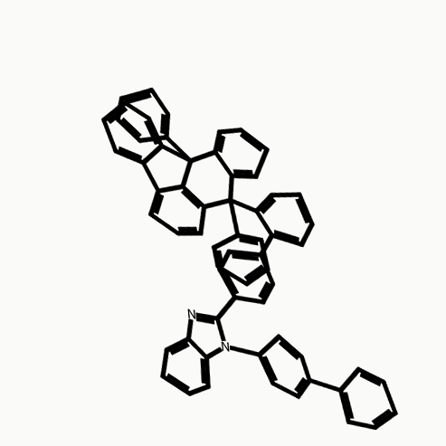 c1ccc(-c2ccc(-n3c(-c4ccc(-c5ccccc5C5(c6ccccc6)c6ccccc6C6(c7ccccc7)c7ccccc7-c7cccc5c76)cc4)nc4ccccc43)cc2)cc1